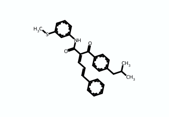 CSc1cccc(NC(=O)C(=CC=Cc2ccccc2)C(=O)c2ccc(CC(C)C)cc2)c1